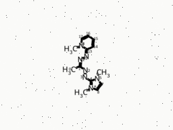 CC(N=Nc1n(C)cc[n+]1C)=NN=c1ccccn1C